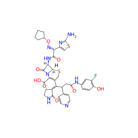 Nc1nc(C(=NOC2CCCC2)C(=O)N[C@@H]2C(=O)N3C(C(=O)O)=C(C(=C4CCNC4=O)C(CC(=O)Nc4ccc(O)c(F)c4)c4ccncc4)CS[C@H]23)cs1